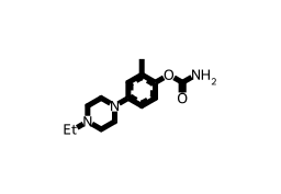 CCN1CCN(c2ccc(OC(N)=O)c(C)c2)CC1